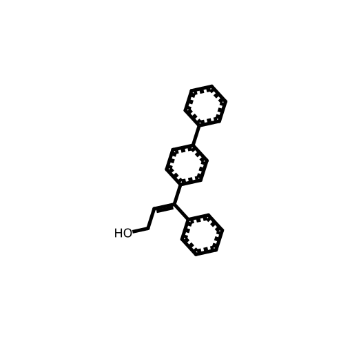 OC/C=C(\c1ccccc1)c1ccc(-c2ccccc2)cc1